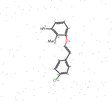 CCCc1cccc(OC=Cc2ccc(Cl)cc2)c1OC